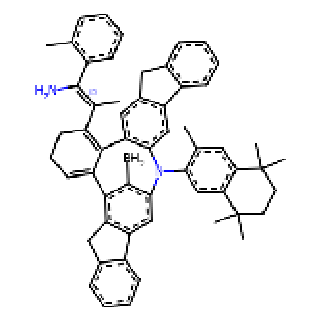 Bc1c2cc3c(c1C1=CCCC(/C(C)=C(\N)c4ccccc4C)=C1c1cc4c(cc1N2c1cc2c(cc1C)C(C)(C)CCC2(C)C)-c1ccccc1C4)Cc1ccccc1-3